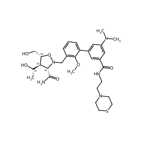 COc1c(CN2O[C@@H](CO)[C@H]([C@H](C)O)[C@H]2C(N)=O)cccc1-c1cc(C(=O)NCCN2CCSCC2)cc(N(C)C)c1